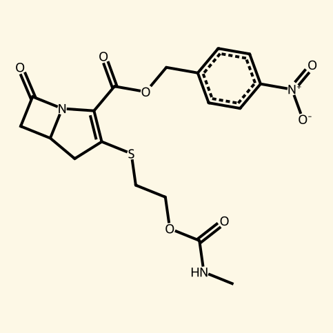 CNC(=O)OCCSC1=C(C(=O)OCc2ccc([N+](=O)[O-])cc2)N2C(=O)CC2C1